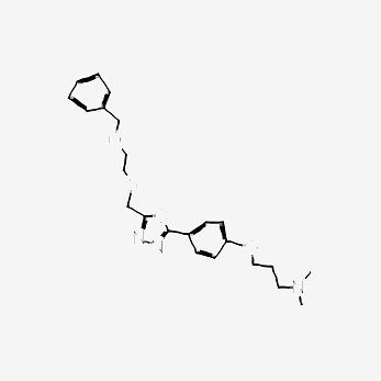 CN(C)CCCOc1ccc(-c2nnc(CSCCOCc3ccccc3)o2)cc1